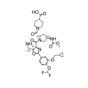 COC(=O)N[C@@H]1C[C@@H](C(=O)N2CCC(C(=O)O)CC2)N(C(=O)c2nc(-c3ccc(OC(F)F)c(OCC4CC4)c3)oc2[C@H](C)N)C1